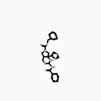 O=C(NC1NC2(c3cncs3)CN(C(=O)OCc3ccccc3)CC2CS1)c1ccccc1